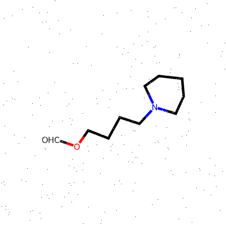 O=COCCCCN1CCCCC1